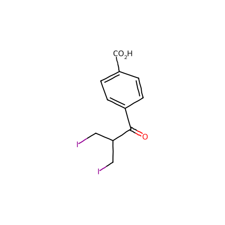 O=C(O)c1ccc(C(=O)C(CI)CI)cc1